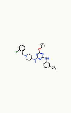 FC(F)(F)COc1nc(Nc2cccc(C(F)(F)F)c2)nc(NC2CCN(Cc3ccccc3Cl)CC2)n1